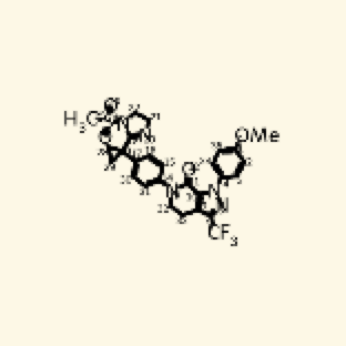 COc1ccc(-n2nc(C(F)(F)F)c3c2C(=O)N(c2ccc(C4(C5=NCCN5S(C)(=O)=O)CC4)cc2)CC3)cc1